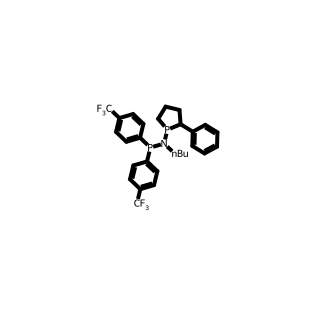 CCCCN(P(c1ccc(C(F)(F)F)cc1)c1ccc(C(F)(F)F)cc1)P1CCCC1c1ccccc1